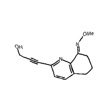 CO/N=C1\CCCc2ccc(C#CCO)nc21